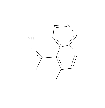 N.O=C(O)c1c(O)ccc2ccccc12